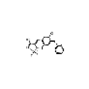 O=C(O)C1=Cc2cc(Cl)c(Oc3ccccn3)cc2O[C@@H]1C(F)(F)F